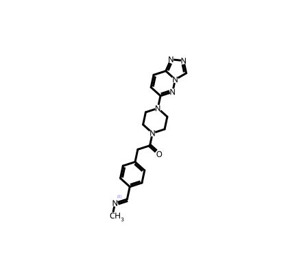 C/N=C/c1ccc(CC(=O)N2CCN(c3ccc4nncn4n3)CC2)cc1